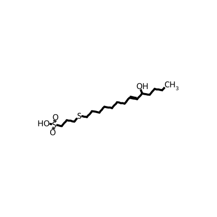 CCCCC(O)C=CCCCCCCCSCCCS(=O)(=O)O